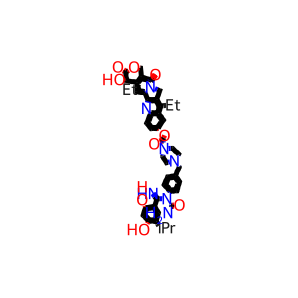 CCc1c2c(nc3ccc(OC(=O)N4CCN(Cc5ccc(N(C(=N)c6cc(C(C)C)c(O)cc6O)C(N)=O)cc5)CC4)cc13)-c1cc3c(c(=O)n1C2)COC(=O)C3(O)CC